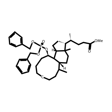 COC(=O)CC[C@@H](C)[C@H]1CC[C@H]2C3[C@H](CCC12C)C(C)CCCCCC[C@H]3OP(=O)(OCc1ccccc1)OCc1ccccc1